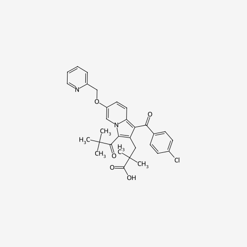 CC(C)(C)C(=O)c1c(CC(C)(C)C(=O)O)c(C(=O)c2ccc(Cl)cc2)c2ccc(OCc3ccccn3)cn12